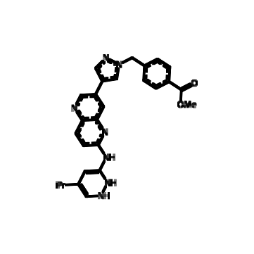 COC(=O)c1ccc(Cn2cc(-c3cnc4ccc(NC5=CC(C(C)C)=CNN5)nc4c3)cn2)cc1